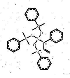 C=C[C@H](c1ccccc1)[Si](O[Si](C)(C)c1ccccc1)(O[Si](C)(C)c1ccccc1)O[Si](C)(C)c1ccccc1